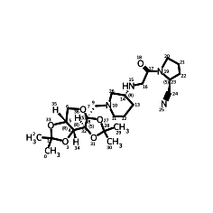 CC1(C)O[C@@H]2[C@@H](CO[C@@]3(CN4CCC[C@@H](NCC(=O)N5CCC[C@H]5C#N)C4)OC(C)(C)O[C@@H]23)O1